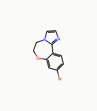 Brc1ccc2c(c1)OCCn1ccnc1-2